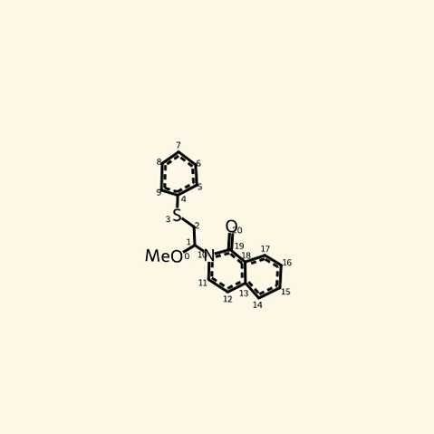 COC(CSc1ccccc1)n1ccc2ccccc2c1=O